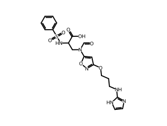 O=CN(CC(NS(=O)(=O)c1ccccc1)C(=O)O)c1cc(OCCCNc2ncc[nH]2)no1